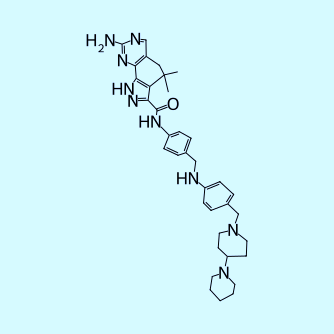 CC1(C)Cc2cnc(N)nc2-c2[nH]nc(C(=O)Nc3ccc(CNc4ccc(CN5CCC(N6CCCCC6)CC5)cc4)cc3)c21